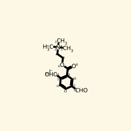 C[N+](C)(C)CCOC(=O)c1cc(C=O)ccc1C=O.[I-]